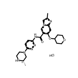 Cc1cn2cc(C(=O)Nc3ccc(N4CCN[C@@H](C)C4)nn3)c(OC3CCOCC3)cc2n1.Cl